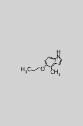 CCCOc1ccc2[nH]ccc2c1C